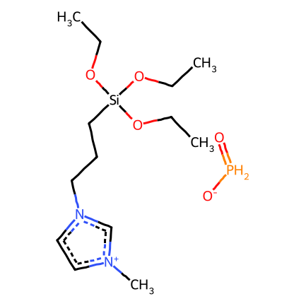 CCO[Si](CCCn1cc[n+](C)c1)(OCC)OCC.O=[PH2][O-]